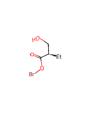 CC[C@H](CO)C(=O)OBr